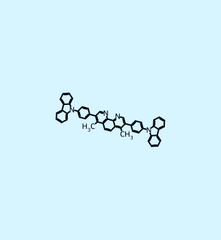 Cc1c(-c2ccc(-n3c4ccccc4c4ccccc43)cc2)cnc2c1ccc1c(C)c(-c3ccc(-n4c5ccccc5c5ccccc54)cc3)cnc12